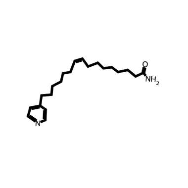 NC(=O)CCCCCCC/C=C\CCCCCCc1ccncc1